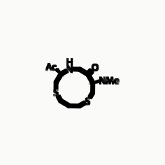 CN[C@H]1CSCCCSC[C@@H](C(C)=O)NCC1=O